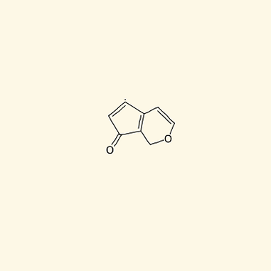 O=C1C=[C]C2=C1COC=C2